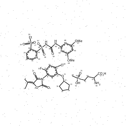 CC(C)=C1OC(=O)N(c2cc(OC3CCCC3)c(Cl)cc2F)C1=O.CCS(=O)(=O)c1cccnc1S(=O)(=O)NC(=O)Nc1nc(OC)cc(OC)n1.CP(=O)(O)CCC(N)C(=O)O